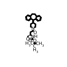 CC(C)(C)OC(=O)N[C@@H](CO)CC(=O)N1CCC(=C2c3ccccc3CCc3ccccc32)CC1